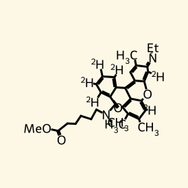 [2H]c1c([2H])c([2H])c(-c2c3cc(C)/c(=N\CC)c([2H])c-3oc3c([2H])c(C)c(C)cc23)c(C(=O)N(C)CCCCCC(=O)OC)c1[2H]